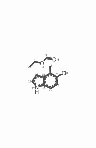 CCOC=O.Cc1c(Cl)ccc2[nH]ccc12